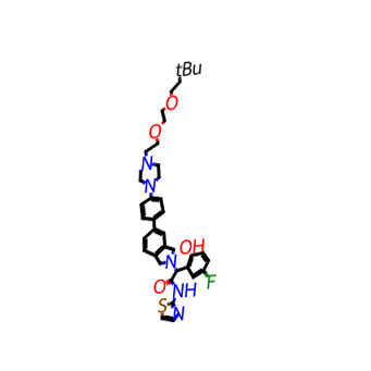 CC(C)(C)CCOCCOCCN1CCN(c2ccc(-c3ccc4c(c3)CN(C(C(=O)Nc3nccs3)c3cc(F)ccc3O)C4)cc2)CC1